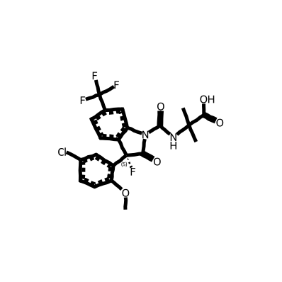 COc1ccc(Cl)cc1[C@]1(F)C(=O)N(C(=O)NC(C)(C)C(=O)O)c2cc(C(F)(F)F)ccc21